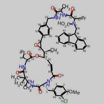 COc1ccc(C[C@H]2NC(=O)/C=C/C[C@@H]([C@H](C)C3OC3c3ccc(CNC(=O)C(C)NC(=O)C(C(C)C)N(CC4c5ccccc5-c5ccccc54)C(=O)O)cc3)OC(=O)[C@H](CC(C)C)NC(=O)C(C)(C)C(C)NC2=O)cc1Cl